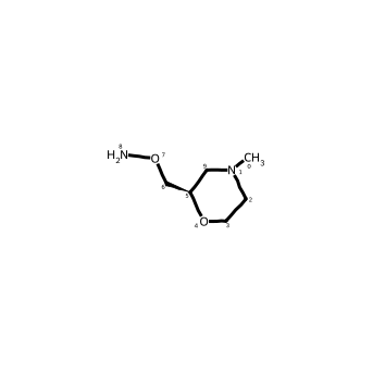 CN1CCO[C@@H](CON)C1